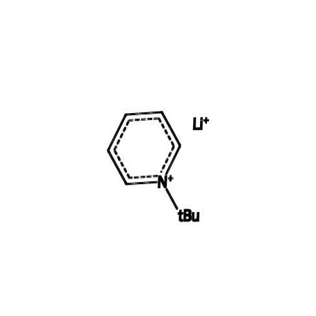 CC(C)(C)[n+]1ccccc1.[Li+]